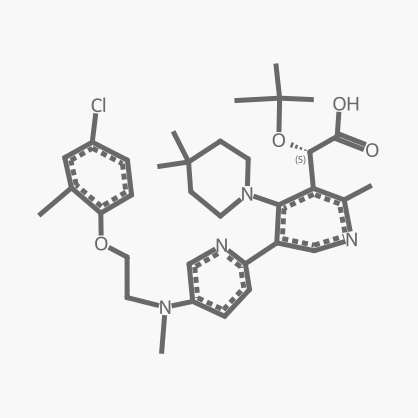 Cc1cc(Cl)ccc1OCCN(C)c1ccc(-c2cnc(C)c([C@H](OC(C)(C)C)C(=O)O)c2N2CCC(C)(C)CC2)nc1